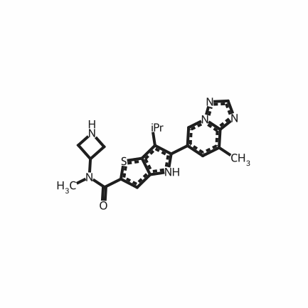 Cc1cc(-c2[nH]c3cc(C(=O)N(C)C4CNC4)sc3c2C(C)C)cn2ncnc12